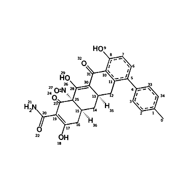 Cc1ccc(-c2ccc(O)c3c2C[C@H]2C[C@H]4CC(O)=C(C(N)=O)C(=O)[C@@]4(N=O)C(O)=C2C3=O)cc1